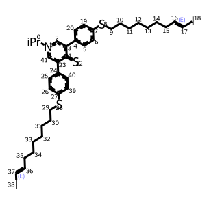 CC(C)n1cc(-c2ccc(SCCCCCCC/C=C/I)cc2)c(=S)c(-c2ccc(SCCCCCCC/C=C/I)cc2)c1